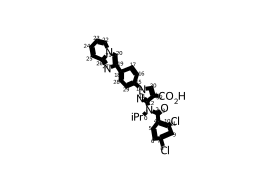 CC(C)N(C(=O)c1ccc(Cl)cc1Cl)c1nn(-c2ccc(-c3cn4ccccc4n3)cc2)cc1C(=O)O